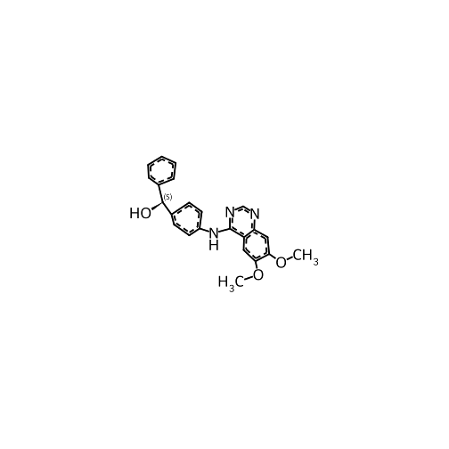 COc1cc2ncnc(Nc3ccc([C@@H](O)c4ccccc4)cc3)c2cc1OC